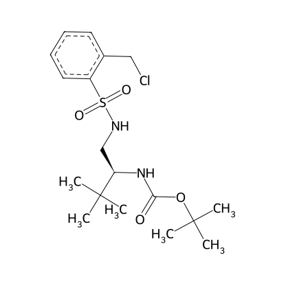 CC(C)(C)OC(=O)N[C@H](CNS(=O)(=O)c1ccccc1CCl)C(C)(C)C